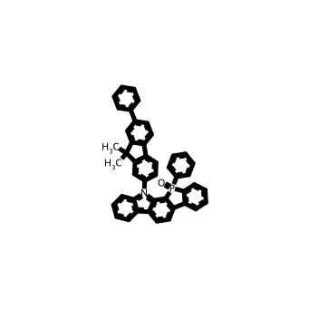 CC1(C)c2cc(-c3ccccc3)ccc2-c2ccc(-n3c4ccccc4c4ccc5c(c43)P(=O)(c3ccccc3)c3ccccc3-5)cc21